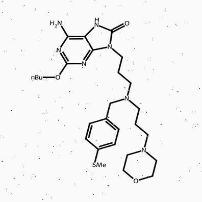 CCCCOc1nc(N)c2[nH]c(=O)n(CCCN(CCCN3CCOCC3)Cc3ccc(SC)cc3)c2n1